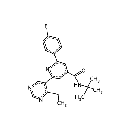 CCc1ncncc1-c1cc(C(=O)NC(C)(C)C)cc(-c2ccc(F)cc2)n1